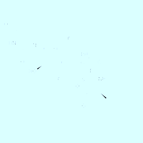 CC(C)OC(=O)[C@H](C)NP(=S)(OC[C@@]1(C(F)P)O[C@@H](n2ccc(=O)[nH]c2=O)[C@H](O)[C@H]1F)Oc1cccc2ccccc12